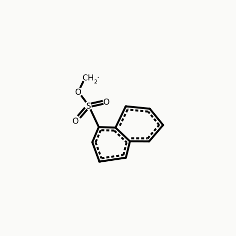 [CH2]OS(=O)(=O)c1cccc2ccccc12